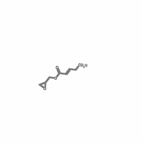 O=C(O)CC=CC(=O)OCC1CO1